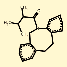 CC(C)C(C)C(=O)N1Cc2ccccc2CCc2ccccc21